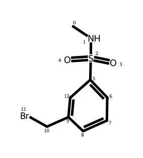 CNS(=O)(=O)c1cccc(CBr)c1